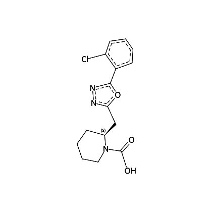 O=C(O)N1CCCC[C@H]1Cc1nnc(-c2ccccc2Cl)o1